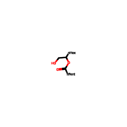 CCCCCCC(CO)OC(=O)CCCCC